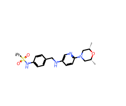 CC(C)S(=O)(=O)Nc1ccc(CNc2ccc(N3C[C@@H](C)O[C@@H](C)C3)nc2)cc1